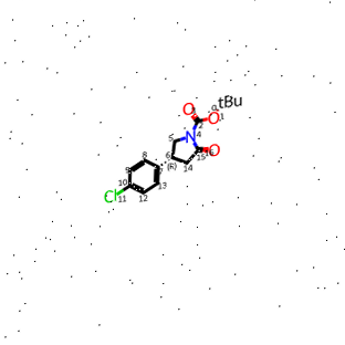 CC(C)(C)OC(=O)N1C[C@@H](c2ccc(Cl)cc2)CC1=O